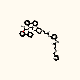 O=C(CCNCc1ccco1)Nc1cccc(NC(=O)CCN2CCC(OC(=O)N(c3ccccc3-c3ccccc3)N(C(=O)O)c3ccccc3-c3ccccc3)CC2)c1